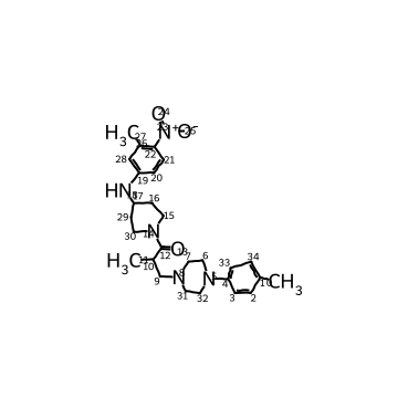 Cc1ccc(N2CCN(CC(C)C(=O)N3CCC(Nc4ccc([N+](=O)[O-])c(C)c4)CC3)CC2)cc1